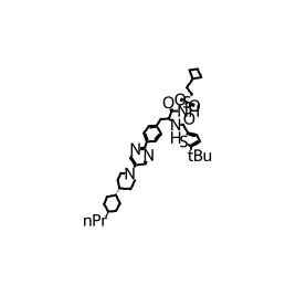 CCC[C@H]1CC[C@H](C2CCN(c3cnc(-c4ccc(CC(NC(=O)c5ccc(C(C)(C)C)s5)C(=O)NS(=O)(=O)CCC5CCC5)cc4)nc3)CC2)CC1